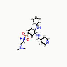 CN(C)CCNS(=O)(=O)c1ccc(NC2CCCCC2)c(NCc2ccncc2)c1